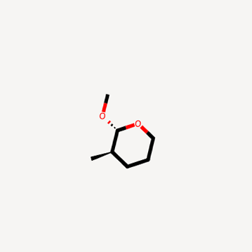 CO[C@@H]1OCCC[C@H]1C